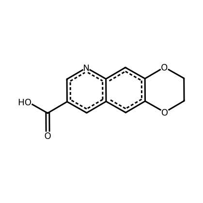 O=C(O)c1cnc2cc3c(cc2c1)OCCO3